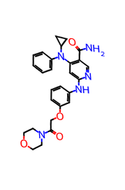 NC(=O)c1cnc(Nc2cccc(OCC(=O)N3CCOCC3)c2)cc1N(c1ccccc1)C1CC1